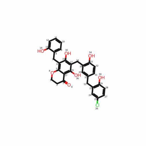 O=C1CCOc2c(Cc3ccccc3O)c(O)c(Cc3cc(Cc4cc(Cl)ccc4O)ccc3O)c(O)c21